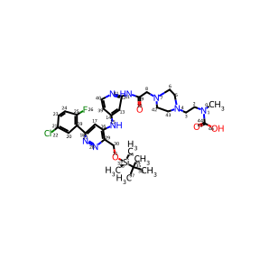 CN(CCN1CCN(CC(=O)Nc2cc(Nc3cc(-c4cc(Cl)ccc4F)nnc3CO[Si](C)(C)C(C)(C)C)ccn2)CC1)C(=O)O